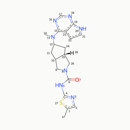 Cc1cnc(NC(=O)N2CC3CC(N(C)c4ncnc5[nH]ccc45)C[C@@H]3C2)s1